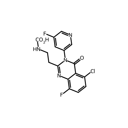 O=C(O)NCCc1nc2c(F)ccc(Cl)c2c(=O)n1-c1cncc(F)c1